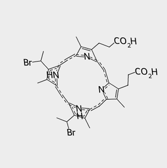 CC1=C(CCC(=O)O)c2cc3nc(cc4[nH]c(cc5[nH]c(cc1n2)c(C)c5C(C)Br)c(C)c4C(C)Br)C(C)=C3CCC(=O)O